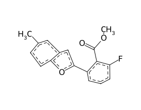 COC(=O)c1c(F)cccc1-c1cc2cc(C)ccc2o1